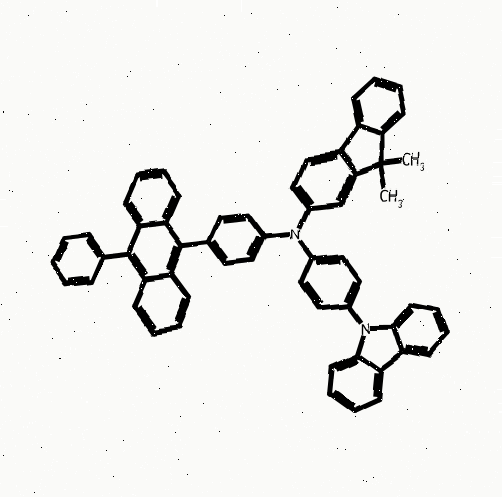 CC1(C)c2ccccc2-c2ccc(N(c3ccc(-c4c5ccccc5c(-c5ccccc5)c5ccccc45)cc3)c3ccc(-n4c5ccccc5c5ccccc54)cc3)cc21